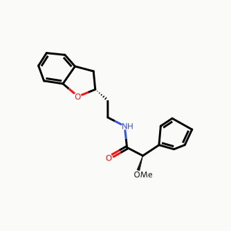 CO[C@@H](C(=O)NCC[C@H]1Cc2ccccc2O1)c1ccccc1